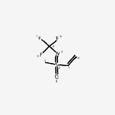 C=CS(C)(=O)=NC(F)(F)F